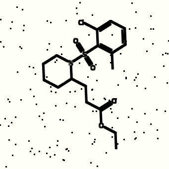 CCOC(=O)CCC1CCCCN1S(=O)(=O)c1c(C)cccc1Cl